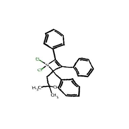 CC(C)(C)CC1(c2ccccc2)C(c2ccccc2)=C(c2ccccc2)[Si]1(Cl)Cl